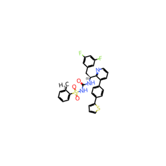 Cc1ccccc1S(=O)(=O)NC(=O)N[C@@H](Cc1cc(F)cc(F)c1)c1ncccc1-c1ccc(-c2cccs2)cc1